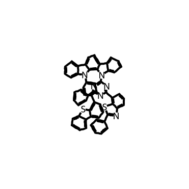 c1ccc(-c2nc(-c3cccc4nc(-c5ccccc5)sc34)nc(-n3c4ccccc4c4ccc5c6ccccc6n(-c6ccc(-c7cccc8c7sc7ccccc78)cc6)c5c43)n2)cc1